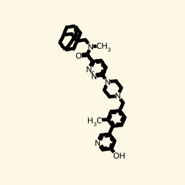 Cc1cc(CN2CCN(c3ccc(C(=O)N(C)CC45CC6CC(CC(C6)C4)C5)nn3)CC2)ccc1-c1cncc(O)c1